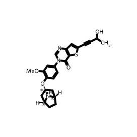 COc1cc(-n2cnc3cc(C#CC(C)O)sc3c2=O)ccc1O[C@H]1C[C@H]2CC[C@@H](C1)N2C